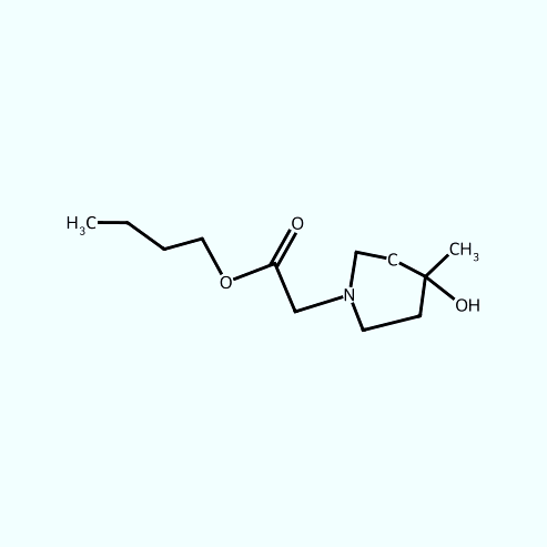 CCCCOC(=O)CN1CCC(C)(O)CC1